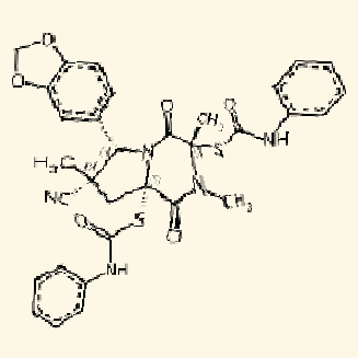 CN1C(=O)[C@@]2(SC(=O)Nc3ccccc3)C[C@](C)(C#N)[C@H](c3ccc4c(c3)OCO4)N2C(=O)[C@]1(C)SC(=O)Nc1ccccc1